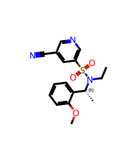 CCN([C@H](C)c1ccccc1OC)S(=O)(=O)c1cncc(C#N)c1